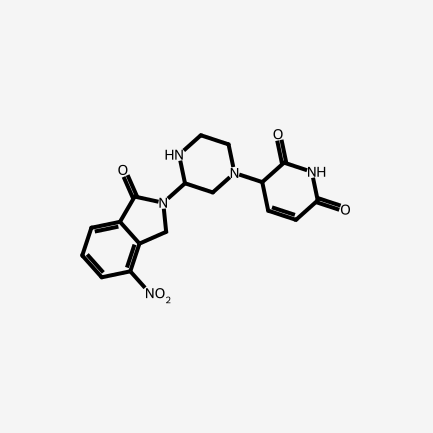 O=C1C=CC(N2CCNC(N3Cc4c(cccc4[N+](=O)[O-])C3=O)C2)C(=O)N1